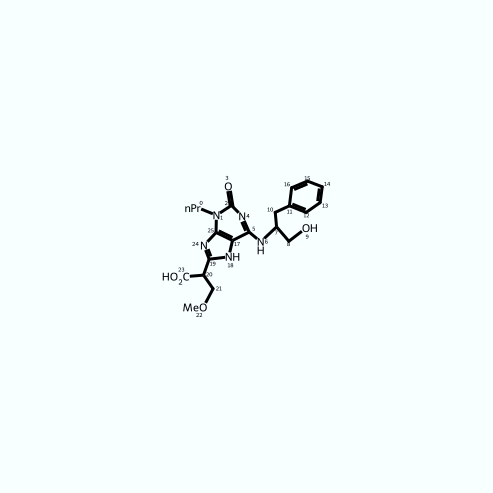 CCCn1c(=O)nc(NC(CO)Cc2ccccc2)c2[nH]c(C(COC)C(=O)O)nc21